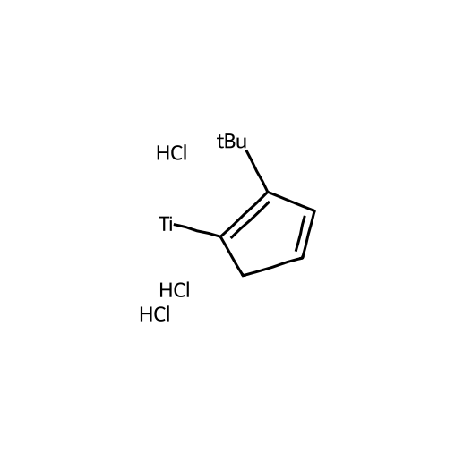 CC(C)(C)C1=[C]([Ti])CC=C1.Cl.Cl.Cl